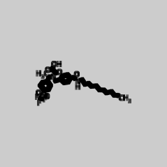 CCCCCCCCCCCCNC(=O)c1ccc(CN(C(=O)C(=O)O)C(C)c2ccc(S(=O)(=O)C(F)(F)F)cc2)cc1